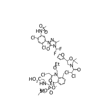 CC1(C)OC(c2ccco2)CN1C(=O)C(Cl)Cl.CCOCN(C(=O)CCl)c1c(C)cccc1CC.C[S+](C)C.Cc1nn(-c2cc(NS(C)(=O)=O)c(Cl)cc2Cl)c(=O)n1C(F)F.O=C(O)CNCP(=O)([O-])O